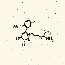 COc1ccc(C)cc1-c1cc(=O)[nH]c(=S)n1CCCN=C(N)N